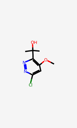 COc1cc(Cl)nnc1C(C)(C)O